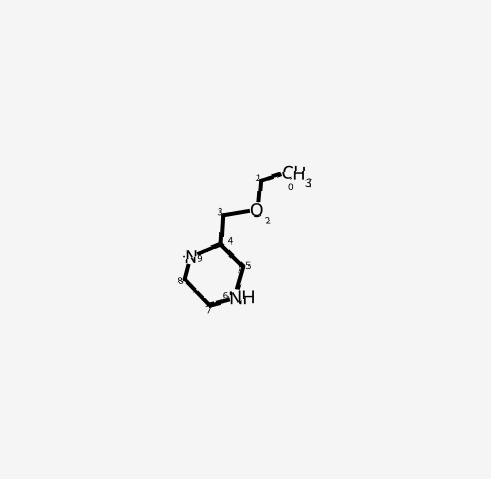 CCOCC1CNCC[N]1